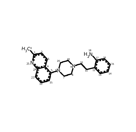 Cc1ccc2c(N3CCN(CCc4ccccc4N)CC3)cccc2n1